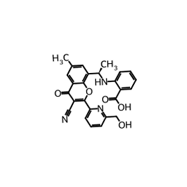 Cc1cc([C@@H](C)Nc2ccccc2C(=O)O)c2oc(-c3cccc(CO)n3)c(C#N)c(=O)c2c1